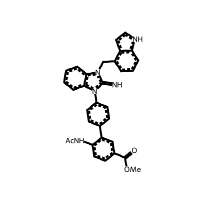 COC(=O)c1ccc(NC(C)=O)c(-c2ccc(-n3c(=N)n(Cc4cccc5[nH]ccc45)c4ccccc43)cc2)c1